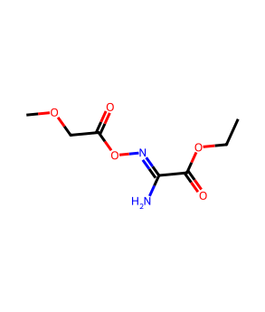 CCOC(=O)C(N)=NOC(=O)COC